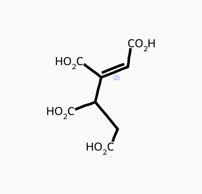 O=C(O)/C=C(\C(=O)O)C(CC(=O)O)C(=O)O